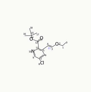 CCO/C=C/c1cc(Cl)cnc1C(=O)OC(C)(C)C